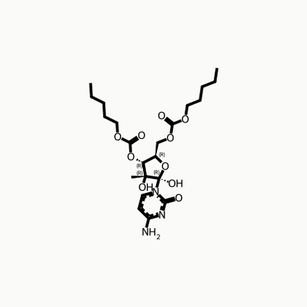 CCCCCOC(=O)OC[C@H]1O[C@@](O)(n2ccc(N)nc2=O)[C@](C)(O)[C@@H]1OC(=O)OCCCCC